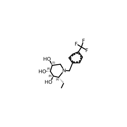 CC[C@@H]1[C@@H](O)[C@H](O)[C@@H](O)CN1Cc1ccc(C(F)(F)F)cc1